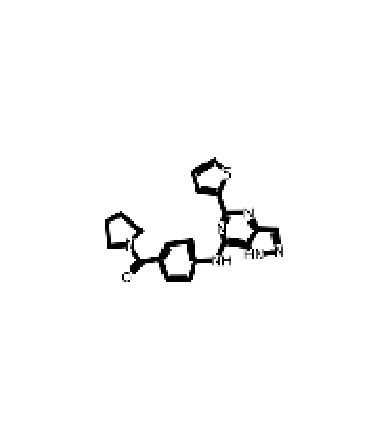 O=C(c1ccc(Nc2nc(-c3cccs3)nc3cn[nH]c23)cc1)N1CCCC1